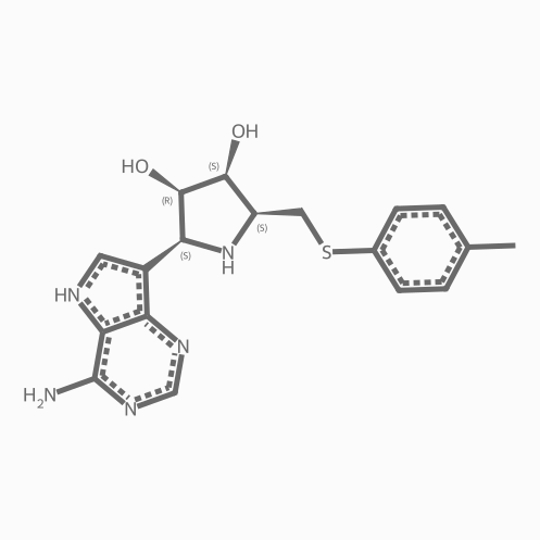 Cc1ccc(SC[C@H]2N[C@@H](c3c[nH]c4c(N)ncnc34)[C@@H](O)[C@H]2O)cc1